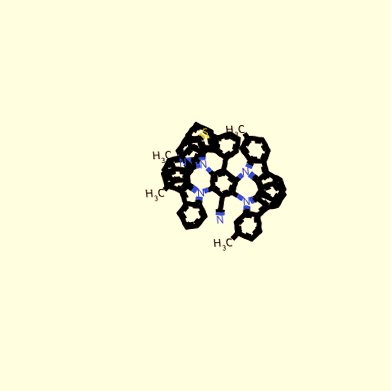 Cc1ccc2c3ccccc3n(-c3c(C#N)c(-n4c5ccccc5c5ccc(C)cc54)c(-n4c5ccccc5c5ccc(C)cc54)c(-c4cccc5sc6ccncc6c45)c3-n3c4ccccc4c4ccc(C)cc43)c2c1